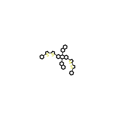 c1ccc(-c2ccc(-c3ccc(-c4ccc5c(-c6ccc7ccccc7c6)c6cc(-c7ccc(-c8ccc(-c9ccccc9)s8)s7)ccc6c(-c6ccc7ccccc7c6)c5c4)s3)s2)cc1